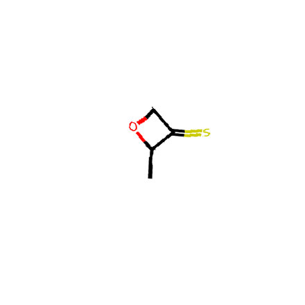 C[C]1O[CH]C1=S